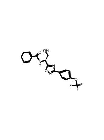 O=C(N[C@@H](CO)c1nc(-c2ccc(OC(F)(F)F)cc2)no1)C1=CCCC=C1